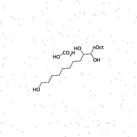 CCCCCCCCC(O)C(O)CCCCCCCCO.O=C(O)O